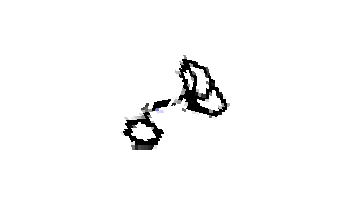 c1ccc(/N=N/C23CC4CC(CC(C4)C2)C3)cc1